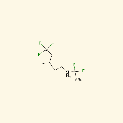 CCCCC(F)(F)[SiH2]CCC(C)C[Si](F)(F)F